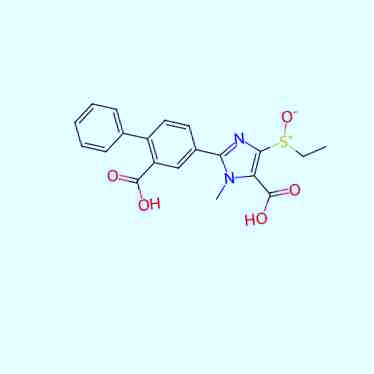 CC[S+]([O-])c1nc(-c2ccc(-c3ccccc3)c(C(=O)O)c2)n(C)c1C(=O)O